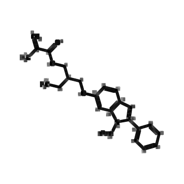 C=C(C)C(=O)OCC(COc1ccc2cc(-c3ccccc3)n(CCCCC)c2c1)CC(F)(F)F